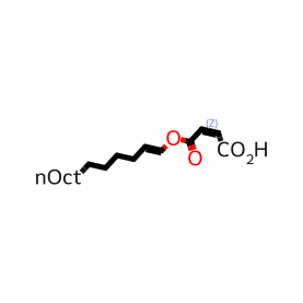 CCCCCCCCCCCCC=COC(=O)/C=C\C(=O)O